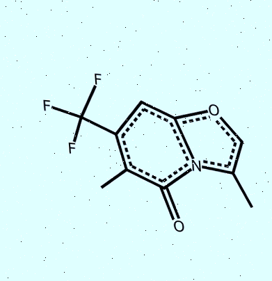 Cc1c(C(F)(F)F)cc2occ(C)n2c1=O